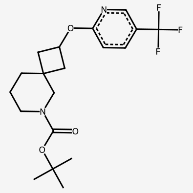 CC(C)(C)OC(=O)N1CCCC2(CC(Oc3ccc(C(F)(F)F)cn3)C2)C1